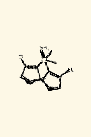 CCC1=[C]([Zr]([CH3])([CH3])(=[SiH2])[C]2=C(CC)C=CC2C(C)C)C(C(C)C)C=C1